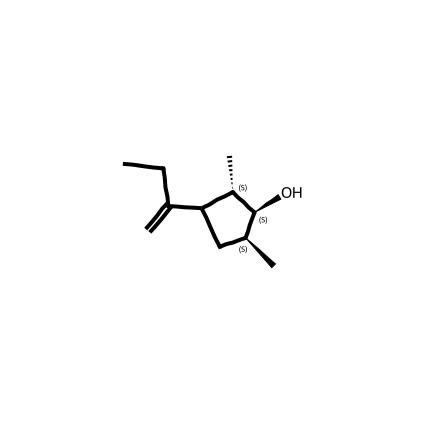 C=C(CC)C1C[C@H](C)[C@H](O)[C@H]1C